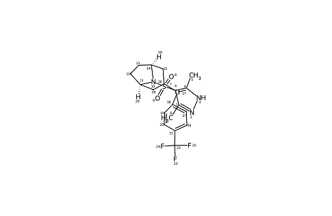 Cc1n[nH]c(C)c1S(=O)(=O)N1[C@@H]2CC[C@H]1CC(Oc1ccc(C(F)(F)F)cc1)C2